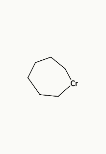 C1CC[CH2][Cr][CH2]C1